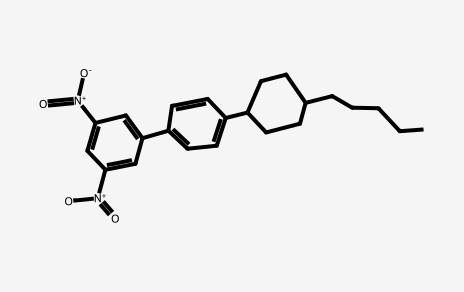 CCCCCC1CCC(c2ccc(-c3cc([N+](=O)[O-])cc([N+](=O)[O-])c3)cc2)CC1